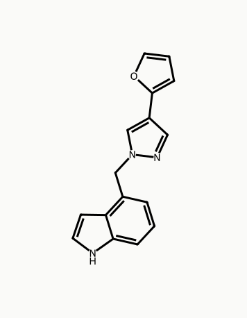 c1coc(-c2cnn(Cc3cccc4[nH]ccc34)c2)c1